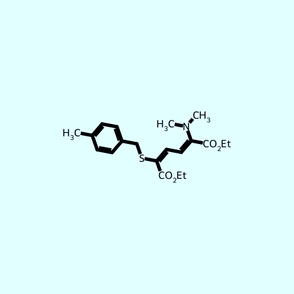 CCOC(=O)C(=CC=C(C(=O)OCC)N(C)C)SCc1ccc(C)cc1